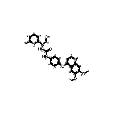 COc1cc2nccc(Oc3ccc(NC(=O)NN(C=O)c4cccc(C)n4)cc3)c2cc1OC